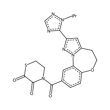 CC(C)n1ncnc1-c1cc2n(n1)-c1cc(C(=O)N3CCSC(=O)C3=O)ccc1OCC2